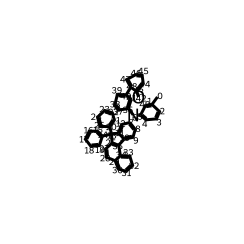 Cc1cccc(N(c2ccc3c(c2)C(c2ccccc2)(c2ccccc2)c2ccc4ccccc4c2-3)c2cccc3c2oc2ccccc23)c1